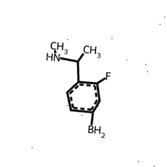 Bc1ccc(C(C)NC)c(F)c1